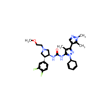 COCCN1C[C@@H](NC(=O)Nc2c(C)c(-c3cnn(C)c3C)nn2C2C=CC=CC2)[C@H](c2ccc(F)c(F)c2)C1